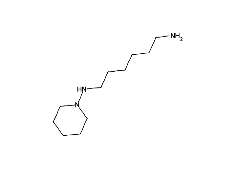 NCCCCCCNN1CCCCC1